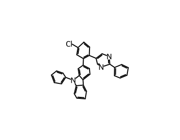 Clc1ccc(-c2cnc(-c3ccccc3)nc2)c(-c2ccc3c4ccccc4n(-c4ccccc4)c3c2)c1